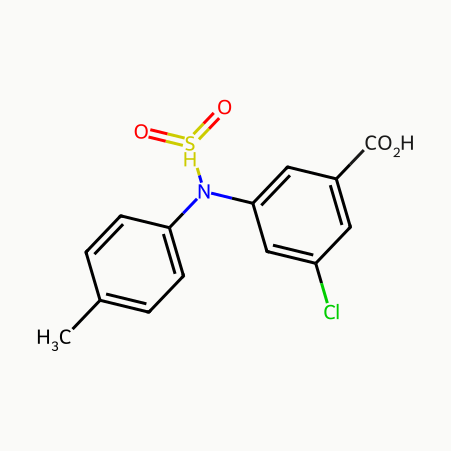 Cc1ccc(N(c2cc(Cl)cc(C(=O)O)c2)[SH](=O)=O)cc1